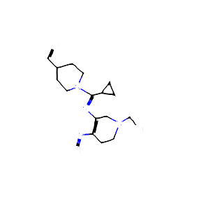 C=CC1CCN(/C(=N/C2=C(N=C)CCN(CC)C2)C2CC2)CC1